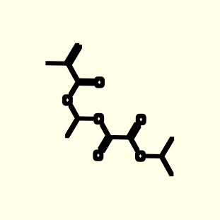 C=C(C)C(=O)OC(C)OC(=O)C(=O)OC(C)C